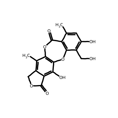 Cc1cc(O)c(CO)c2c1C(=O)Oc1c(C)c3c(c(O)c1O2)C(=O)OC3